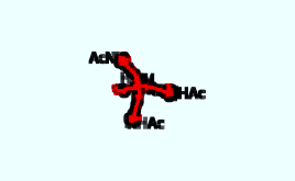 CC(=O)N[C@H]1[C@H]2OC[C@](COCCOCCOCCOCCN3C=C(COCC(COCc4cn(CCOCCOCCOCCOC[C@@]56CO[C@@H](O5)[C@H](NC(C)=O)[C@H]5OC(C)(C)O[C@H]56)nn4)(COCc4cn(CCOCCOCCOCCOC[C@@]56CO[C@@H](O5)[C@H](NC(C)=O)[C@H]5OC(C)(C)O[C@H]56)nn4)NC(=O)CCCCCNC(=O)OCc4ccccc4)NN3)(O2)[C@@H]2OC(C)(C)O[C@H]12